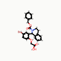 O=C(O)COc1ccc(Br)cc1C1c2ccccc2CCN1C(=O)OCc1ccccc1